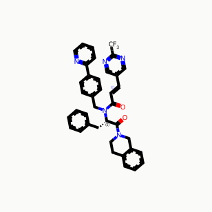 O=C([C@H](Cc1ccccc1)N(Cc1ccc(-c2ccccn2)cc1)C(=O)/C=C/c1cnc(C(F)(F)F)nc1)N1CCc2ccccc2C1